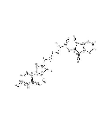 CC1[C@@H](COCCN(C)C(=O)CN2C(=O)c3ccccc3C2=O)O[C@@H](n2ccc(=O)[nH]c2=O)[C@H]1O